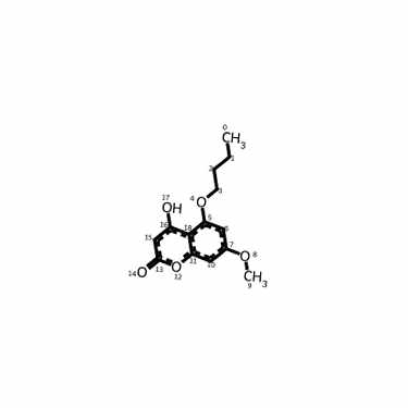 CCCCOc1cc(OC)cc2oc(=O)cc(O)c12